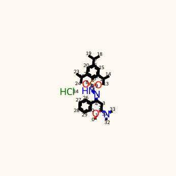 COC(CC(=NNS(=O)(=O)c1c(C(C)C)cc(C(C)C)cc1C(C)C)c1ccccc1)N(C)C.Cl